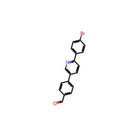 O=Cc1ccc(-c2ccc(-c3ccc(Br)cc3)nc2)cc1